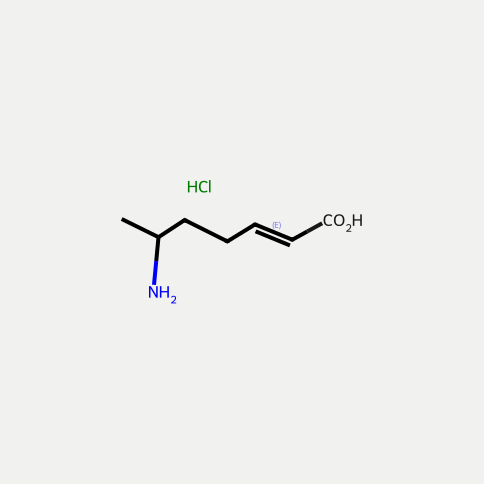 CC(N)CC/C=C/C(=O)O.Cl